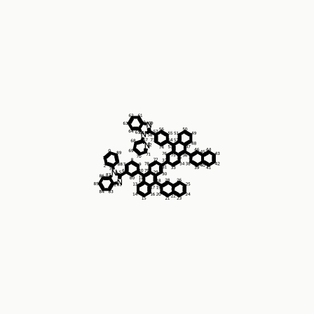 c1ccc(-n2c(-c3cccc(-c4c5ccccc5c(-c5ccc6ccccc6c5)c5cc(-c6ccc7c(-c8ccc9ccccc9c8)c8ccccc8c(-c8ccc(-c9nc%10ccccc%10n9-c9ccccn9)cc8)c7c6)ccc45)c3)nc3ccccc32)cc1